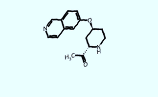 CC(=O)[C@@H]1C[C@@H](Oc2ccc3cnccc3c2)CCN1